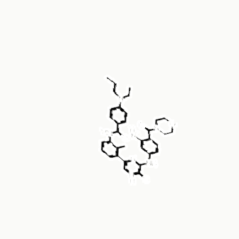 CCCN(CC)c1ccc(C(=O)Nc2cccc(-c3c[nH]c(=O)c(Nc4ccc(C(=O)N5CCOCC5)c(N)c4)n3)c2C)cc1